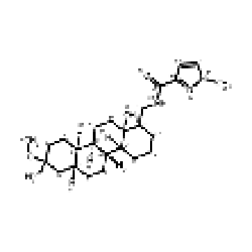 CO[C@]1(C)CC[C@H]2[C@H](CC[C@@H]3[C@@H]2CC[C@]2(C)[C@@H](CNC(=O)c4ccn(C)n4)CCC[C@@H]32)C1